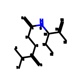 C=C(CCC(=C)C(C)C)NC(CC)C(=C)C